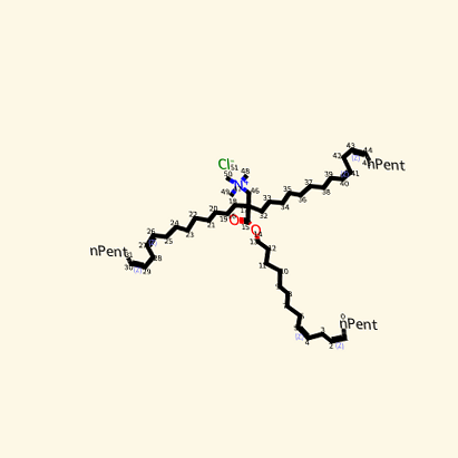 CCCCC/C=C\C/C=C\CCCCCCCCOC(=O)C(CCCCCCCC/C=C\C/C=C\CCCCC)(CCCCCCCC/C=C\C/C=C\CCCCC)C[N+](C)(C)C.[Cl-]